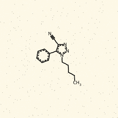 CCCCCn1nnc(C#N)c1-c1ccccc1